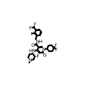 CN1CC[C@H](Nc2cc(=O)n(C3CCC(F)(F)CC3)cc2C(=O)NCc2cccc(C(F)F)c2I)[C@H](F)C1